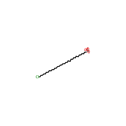 CO[Si](CCCCCCCCCCCCCCCCCCCCCCCCCCCCCCCCCCCCl)(OC)OC